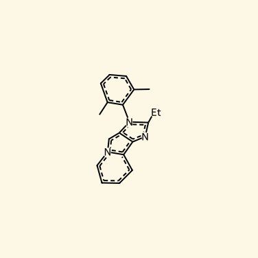 CCc1nc2c(cn3ccccc23)n1-c1c(C)cccc1C